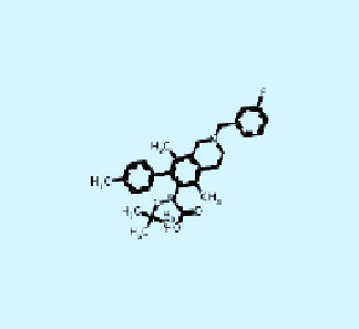 Cc1ccc(-c2c(C)c3c(c(C)c2[C@H](OC(C)(C)C)C(=O)O)CCN(Cc2cccc(F)c2)C3)cc1